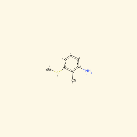 CCCCSc1cccc(N)c1C#N